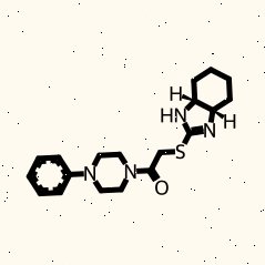 O=C(CSC1=N[C@H]2CCCC[C@H]2N1)N1CCN(c2ccccc2)CC1